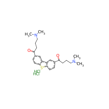 CN(C)CCCC(=O)c1ccc2sc3ccc(C(=O)CCCN(C)C)cc3c2c1.Cl.Cl